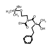 CCC(=O)N(CCO[Si](C)(C)C(C)(C)C)C(=O)N(CCc1ccccc1)C(C)O